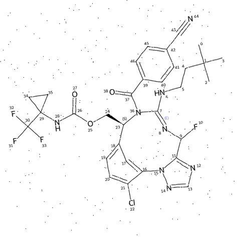 CC(C)(C)CCN/C1=N\C(F)c2ncnn2-c2cc(ccc2Cl)[C@@H](COC(=O)NC2(C(F)(F)F)CC2)N1C(=O)c1ccc(C#N)cc1